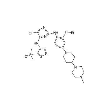 CCOc1cc(N2CCC(N3CCN(C)CC3)CC2)ccc1Nc1ncc(Cl)c(Nc2ccsc2P(C)(C)=O)n1